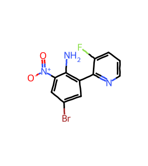 Nc1c(-c2ncccc2F)cc(Br)cc1[N+](=O)[O-]